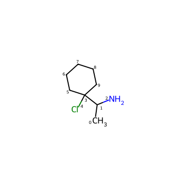 CC(N)C1(Cl)CCCCC1